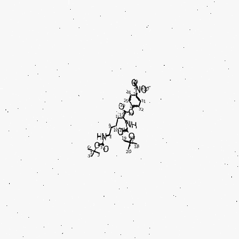 CC(C)(C)OC(=O)NCCCCC(NC(=O)OC(C)(C)C)C(=O)Oc1ccc([N+](=O)[O-])cc1